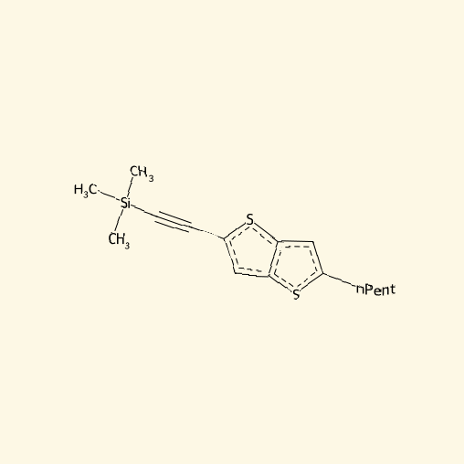 CCCCCc1cc2sc(C#C[Si](C)(C)C)cc2s1